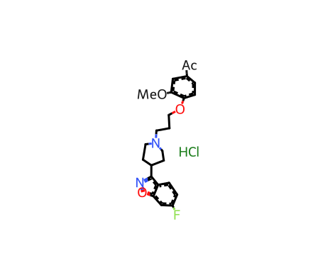 COc1cc(C(C)=O)ccc1OCCCN1CCC(c2noc3cc(F)ccc23)CC1.Cl